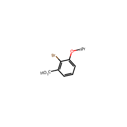 CCCOc1cccc(C(=O)O)c1Br